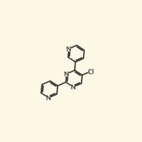 Clc1cnc(-c2cccnc2)nc1-c1cccnc1